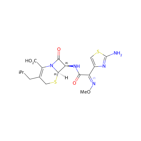 CO/N=C(\C(=O)N[C@@H]1C(=O)N2C(C(=O)O)=C(CC(C)C)CS[C@H]12)c1csc(N)n1